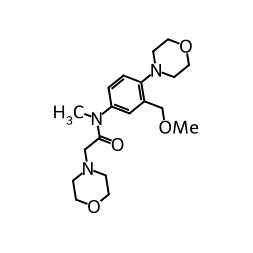 COCc1cc(N(C)C(=O)CN2CCOCC2)ccc1N1CCOCC1